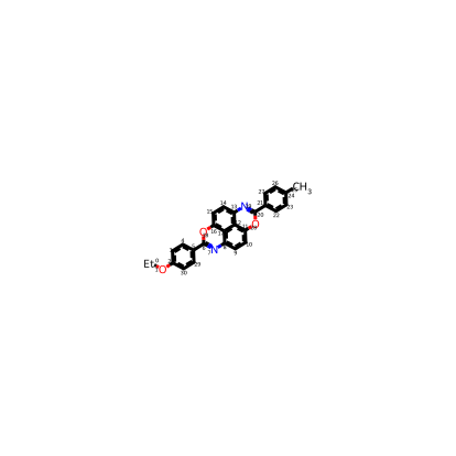 CCOc1ccc(C2=Nc3ccc4c5c(ccc(c35)O2)N=C(c2ccc(C)cc2)O4)cc1